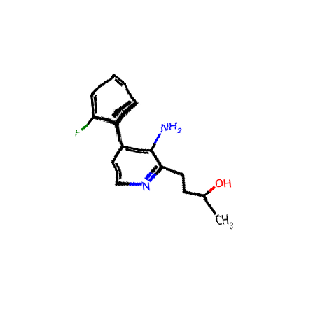 CC(O)CCc1nccc(-c2ccccc2F)c1N